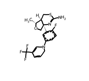 C[C@H]1OC[C@]2(c3cc(N4C=C(C(F)(F)F)C=CC4)ccc3F)N=C(N)SC[C@H]12